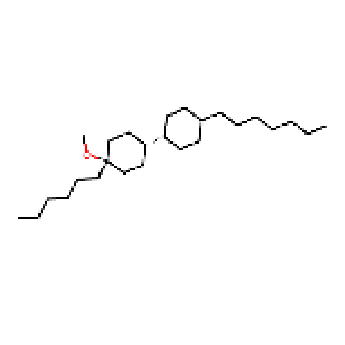 CCCCCCCC1CCC([C@H]2CC[C@@](CCCCCC)(OC)CC2)CC1